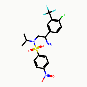 CC(C)N(CC(N)c1ccc(Cl)c(C(F)(F)F)c1)S(=O)(=O)c1ccc([N+](=O)[O-])cc1